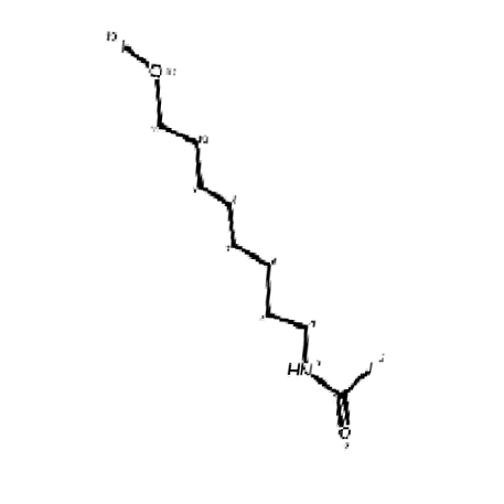 O=C(I)NCCCCCCCCOI